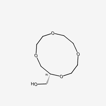 OC[C@@H]1COCCOCCOCCO1